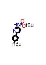 CCCCc1ccc(-c2ccc(NC(=O)OC(C)(C)C)cn2)cc1